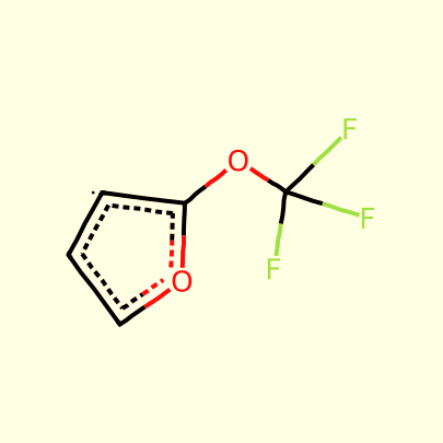 FC(F)(F)Oc1[c]cco1